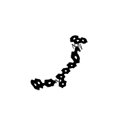 c1ccc2cc(-c3ccc(-n4c5ccccc5c5cc(-c6ccc(-c7ccc(-c8ccc(-c9cnc%10c%11ccccc%11c%11ccccc%11c%10n9)cc8)cc7)cc6)ccc54)cc3)ccc2c1